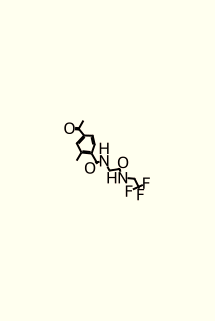 CC(=O)c1ccc(C(=O)NCC(=O)NCC(F)(F)F)c(C)c1